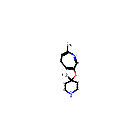 CC1=CCC=C(OC2(C)CCNCC2)C=N1